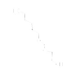 C=CCCCCOCOCCC